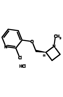 CN1CC[C@H]1COc1cccnc1Cl.Cl